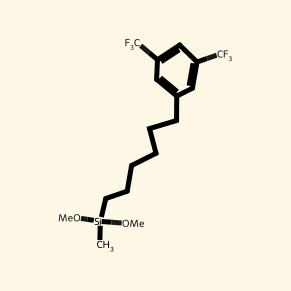 CO[Si](C)(CCCCCCc1cc(C(F)(F)F)cc(C(F)(F)F)c1)OC